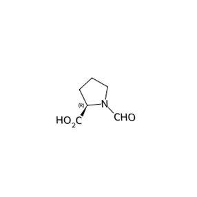 O=CN1CCC[C@@H]1C(=O)O